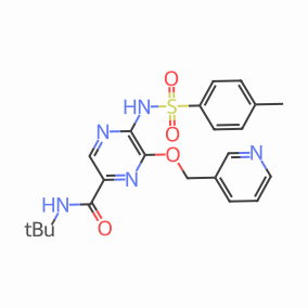 Cc1ccc(S(=O)(=O)Nc2ncc(C(=O)NC(C)(C)C)nc2OCc2cccnc2)cc1